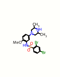 COc1ccc(N2CC(C)NC(C)C2)cc1NS(=O)(=O)c1ccc(Br)cc1Br